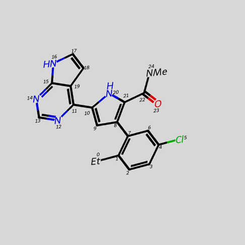 CCc1ccc(Cl)cc1-c1cc(-c2ncnc3[nH]ccc23)[nH]c1C(=O)NC